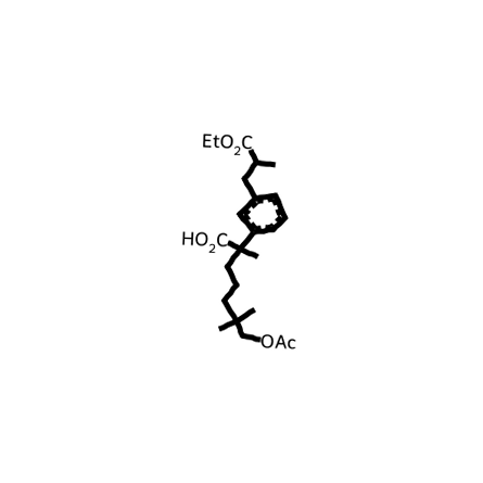 CCOC(=O)C(C)Cc1cccc(C(C)(CCCC(C)(C)COC(C)=O)C(=O)O)c1